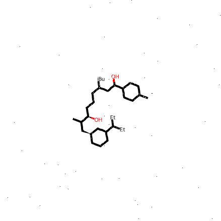 CCC(C)C(CCC[C@@H](O)C(C)C[C@@H]1CCCC(C(CC)CC)C1)CC(O)C1CCC(C)CC1